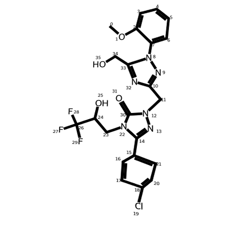 COc1ccccc1-n1nc(Cn2nc(-c3ccc(Cl)cc3)n(CC(O)C(F)(F)F)c2=O)nc1CO